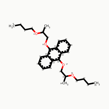 CCCCOC(C)COc1c2ccccc2c(OCC(C)OCCCC)c2ccccc12